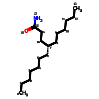 CCCCCCC[C@@H](CCCCCC)CCC(N)=O